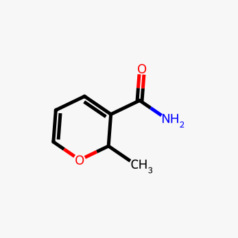 CC1OC=CC=C1C(N)=O